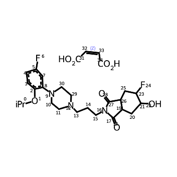 CC(C)Oc1ccc(F)cc1N1CCN(CCCN2C(=O)C3CC(O)C(F)CC3C2=O)CC1.O=C(O)/C=C\C(=O)O